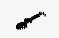 Cn1cc(NC(=O)c2nccn2C)cc1C(=O)NCCC(=O)Nc1cn(C)c(C(=O)Nc2cc(C(=O)NC(C)(C)CC(=O)Nc3nc(C(N)=O)n(C)c3CCOCCOCCOCCOCCOCCOCCOCCOCCOc3ccc(N)cc3)n(C)c2)n1